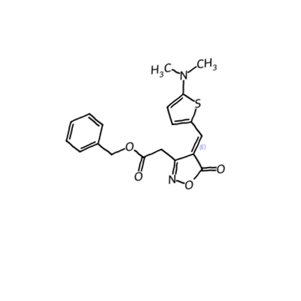 CN(C)c1ccc(/C=C2/C(=O)ON=C2CC(=O)OCc2ccccc2)s1